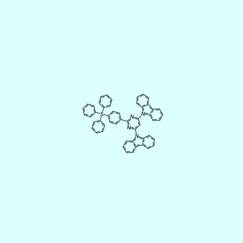 c1ccc(S(c2ccccc2)(c2ccccc2)c2ccc(-c3nc(-n4c5ccccc5c5ccccc54)cc(-n4c5ccccc5c5ccccc54)n3)cc2)cc1